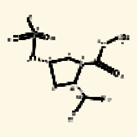 CC(C)(C)OC(=O)N1C[C@@H](OS(C)(=O)=O)C[C@H]1C(F)F